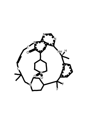 C[C@H]1Nc2ncnc3c2cc(C2CCS(=O)(=O)CC2)c(=O)n3CC/C=C\CC(C)(C)CN2CCC(CC2)C(F)(F)c2cccc1c2